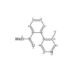 COC(=O)c1ccccc1-c1ccncc1C